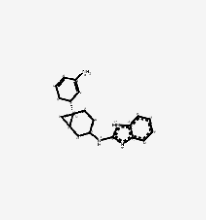 NC1=CC([C@]23CCC(Nc4nc5ccccc5[nH]4)CC2C3)CC=C1